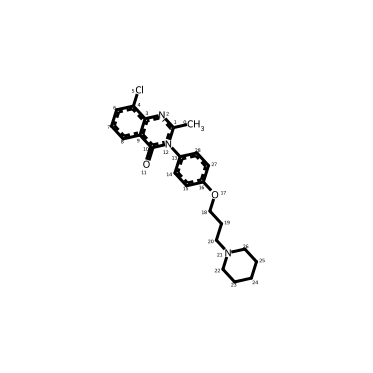 Cc1nc2c(Cl)cccc2c(=O)n1-c1ccc(OCCCN2CCCCC2)cc1